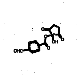 O=Cc1ccc(C(=O)O[N+]2(O)C(=O)CCC2=O)cc1